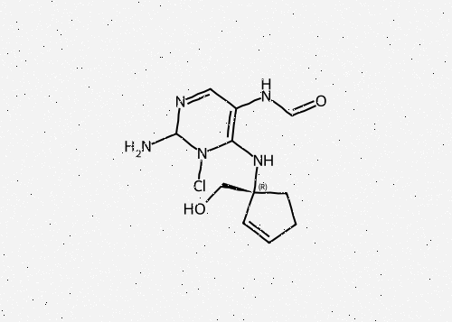 NC1N=CC(NC=O)=C(N[C@@]2(CO)C=CCC2)N1Cl